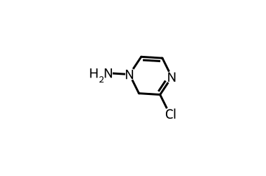 NN1C=CN=C(Cl)C1